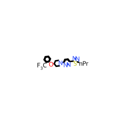 CCCc1nnc(-c2ccc(N3CCC(Oc4ccccc4C(F)(F)F)CC3)nn2)s1